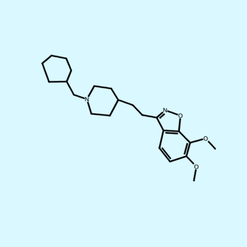 COc1ccc2c(CCC3CCN(CC4CCCCC4)CC3)noc2c1OC